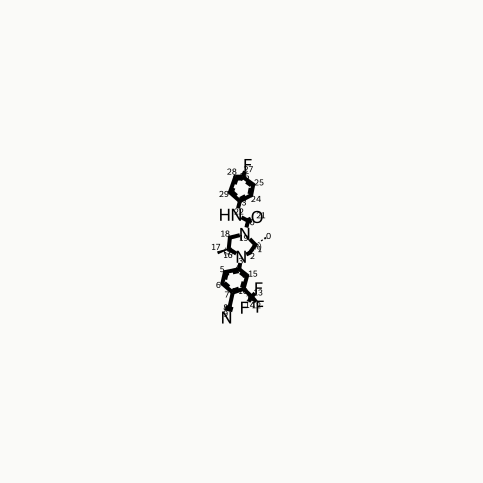 C[C@@H]1CN(c2ccc(C#N)c(C(F)(F)F)c2)[C@@H](C)CN1C(=O)Nc1ccc(F)cc1